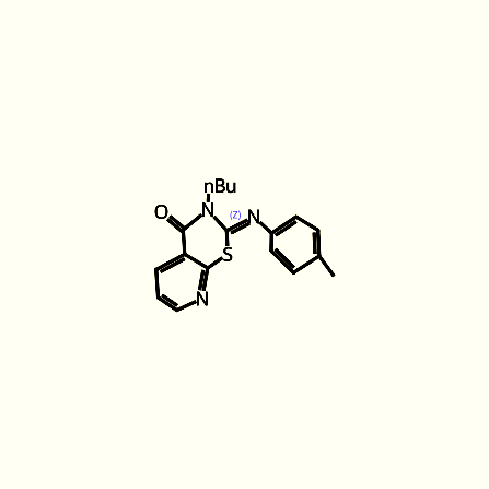 CCCCn1c(=O)c2cccnc2s/c1=N\c1ccc(C)cc1